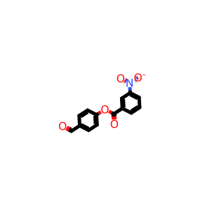 O=Cc1ccc(OC(=O)c2cccc([N+](=O)[O-])c2)cc1